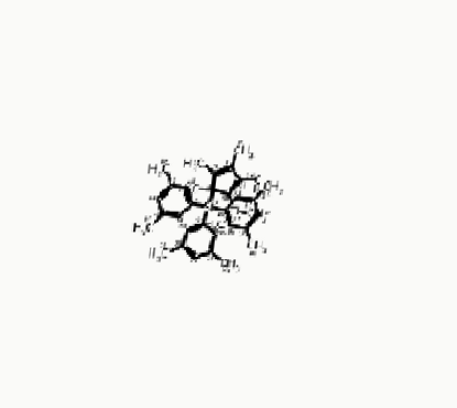 CC1=C(C)C(C)([Si](c2cc(C)cc(C)c2)(c2cc(C)cc(C)c2)c2cc(C)cc(C)c2)[C]([Ti]([CH3])[CH3])=C1C